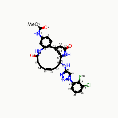 COC(=O)Nc1ccc2c(c1)NC(=O)CCC=CC[C@H](Nc1cn(-c3cccc(Cl)c3F)nn1)c1cc-2cc(=O)[nH]1